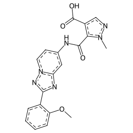 COc1ccccc1-c1nc2cc(NC(=O)c3c(C(=O)O)cnn3C)ccn2n1